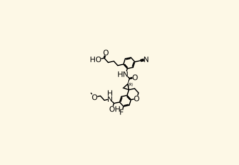 COCCNC(O)c1cc2c(cc1F)OCCC21C[C@H]1C(=O)Nc1cc(C#N)ccc1CCCC(=O)O